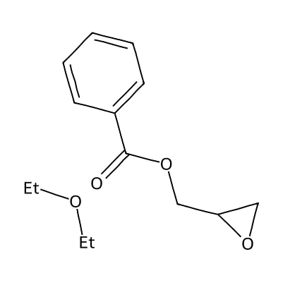 CCOCC.O=C(OCC1CO1)c1ccccc1